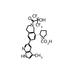 Cc1c[nH]c2ncc(-c3cc4c(c([C@@H]5CCCN5C(=O)O)c3)CN(C(=O)C(O)(C(F)(F)F)C(F)(F)F)CC4)cc12